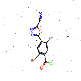 N#Cc1nnc(-c2cc(Br)c(C(=O)Cl)cc2Br)o1